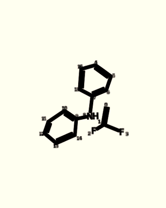 C=C(F)F.c1ccc(Nc2ccccc2)cc1